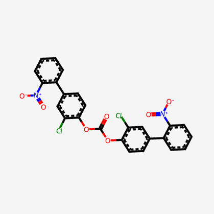 O=C(Oc1ccc(-c2ccccc2[N+](=O)[O-])cc1Cl)Oc1ccc(-c2ccccc2[N+](=O)[O-])cc1Cl